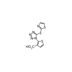 O=C(O)c1ccsc1-n1nnnc1Sc1nccs1